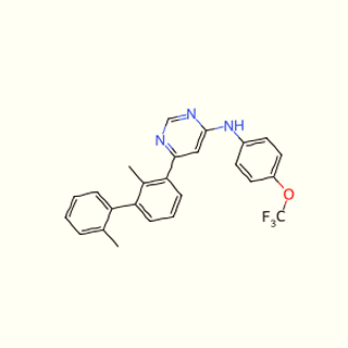 Cc1ccccc1-c1cccc(-c2cc(Nc3ccc(OC(F)(F)F)cc3)ncn2)c1C